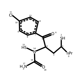 CCCC(S)CC(C(=O)c1ccc(Cl)cc1)N(S)C(N)=O